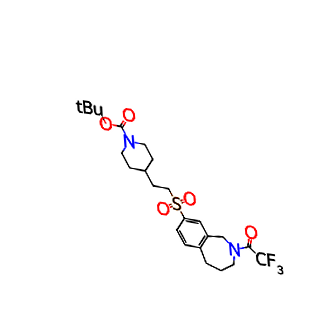 CC(C)(C)OC(=O)N1CCC(CCS(=O)(=O)c2ccc3c(c2)CN(C(=O)C(F)(F)F)CCC3)CC1